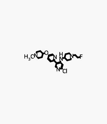 CN1CCC(Oc2ccc(-c3cnc(Cl)cc3NC3CCN(CCF)CC3)nc2)CC1